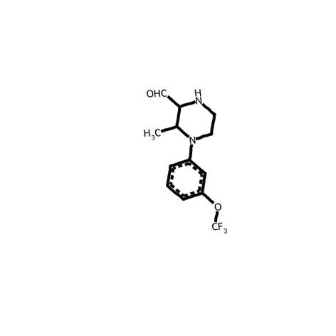 CC1C(C=O)NCCN1c1cccc(OC(F)(F)F)c1